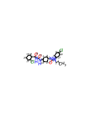 CCCN(C(=O)Nc1ccc(NC(=O)NC(=O)c2ccccc2Cl)cc1)c1ccc(Cl)cc1